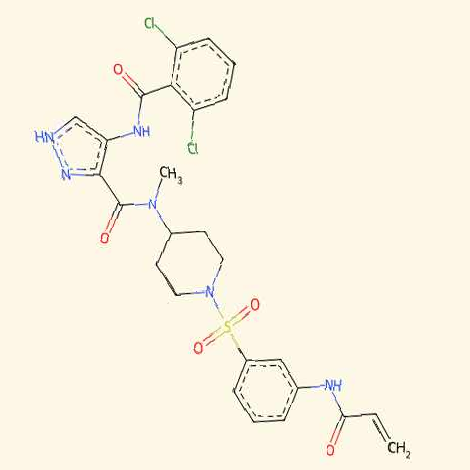 C=CC(=O)Nc1cccc(S(=O)(=O)N2CCC(N(C)C(=O)c3n[nH]cc3NC(=O)c3c(Cl)cccc3Cl)CC2)c1